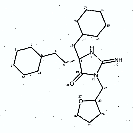 N=C1N[C@](CCC2CCCCC2)(CC2CCCCC2)C(=O)N1CC1CCCO1